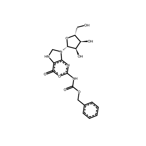 O=C(Nc1nc2c(c(=O)o1)NCN2[C@@H]1O[C@H](CO)[C@@H](O)[C@H]1O)OCc1ccccc1